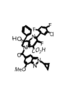 COc1cc(C(=O)NC[C@@](O)(c2ccccc2)c2cc(C(=O)O)c(F)c(-c3cc(Cl)c(F)cc3F)n2)cc2cn(C3CC3)nc12